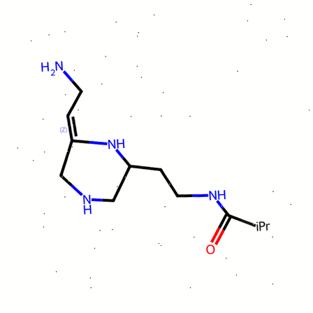 CC(C)C(=O)NCCC1CNC/C(=C/CN)N1